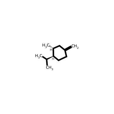 C=C1CC[C@@H](C(C)C)[C@H](C)C1